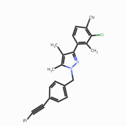 Cc1c(-c2nn(Cc3ccc(C#CC(C)C)cc3)c(C)c2C)ccc(C#N)c1Cl